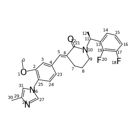 COc1cc(/C=C2\CCCN([C@@H](C)c3cccc(F)c3F)C2=O)ccc1-n1cnc(C)c1